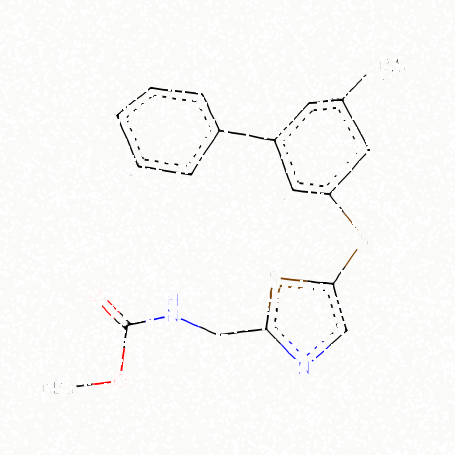 CCCCOC(=O)NCc1ncc(Sc2cc(OC)cc(-c3ccccc3)c2)s1